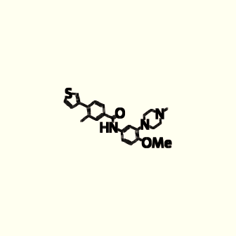 COc1ccc(NC(=O)c2ccc(-c3ccsc3)c(C)c2)cc1N1CCN(C)CC1